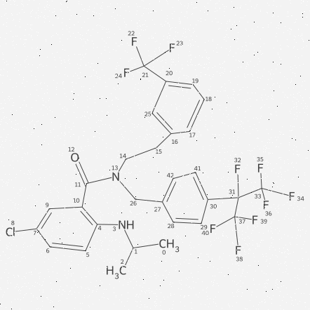 CC(C)Nc1ccc(Cl)cc1C(=O)N(CCc1cccc(C(F)(F)F)c1)Cc1ccc(C(F)(C(F)(F)F)C(F)(F)F)cc1